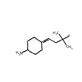 CC(C)(F)CC=C1CCC(N)CC1